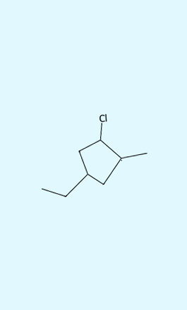 CCC1C[C](C)C(Cl)C1